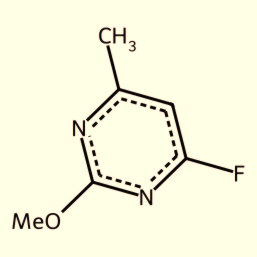 COc1nc(C)cc(F)n1